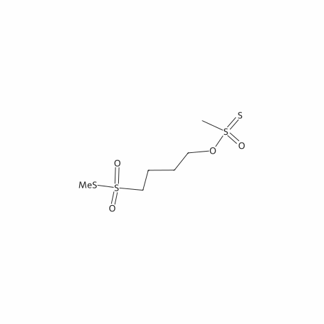 CSS(=O)(=O)CCCCOS(C)(=O)=S